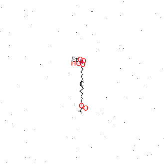 C=C(C)C(=O)OCCCCCCCCCCCCCCCCOP(=O)(O)OCC